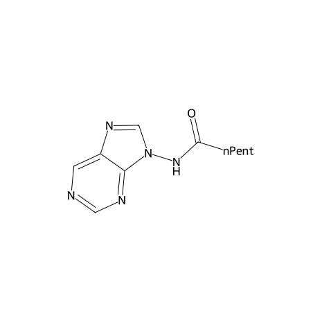 CCCCCC(=O)Nn1cnc2cncnc21